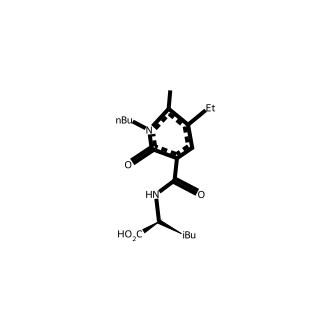 CCCCn1c(C)c(CC)cc(C(=O)N[C@H](C(=O)O)[C@H](C)CC)c1=O